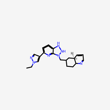 CCn1cc(C2=C=C=C3NNN(CC4CCC5N=CC=C[C@@H]5C4)C3=N2)cn1